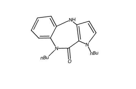 CCCCN1C(=O)c2c(ccn2CCCC)Nc2ccccc21